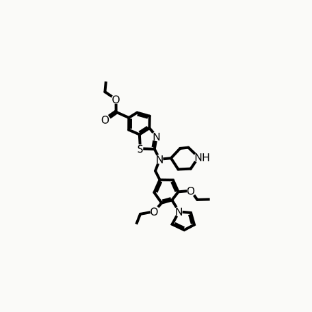 CCOC(=O)c1ccc2nc(N(Cc3cc(OCC)c(-n4cccc4)c(OCC)c3)C3CCNCC3)sc2c1